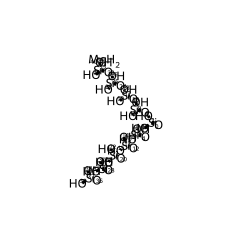 O=[Si](O)O.O=[Si](O)O.O=[Si](O)O.O=[Si](O)O.O=[Si](O)O.O=[Si](O)O.O=[Si](O)O.O=[Si](O)O.O=[Si](O)O.O=[Si](O)O.[MgH2]